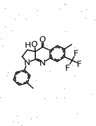 Cc1cccc(N2CCC3(O)C(=O)c4cc(C)c(C(F)(F)F)cc4N=C23)c1